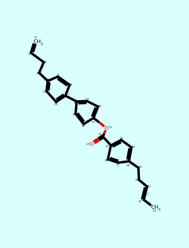 C=CCCc1ccc(-c2ccc(OC(=O)c3ccc(CC/C=C/C)cc3)cc2)cc1